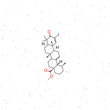 COC(=O)[C@]12CC[C@@H](C)[C@H](C)[C@H]1C1=CC[C@@H]3[C@@]4(C)C=C(I)C(=O)C(C)(C)[C@@H]4CC[C@@]3(C)[C@]1(C)CC2